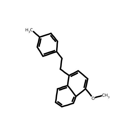 COc1ccc(CCc2ccc(C)cc2)c2ccccc12